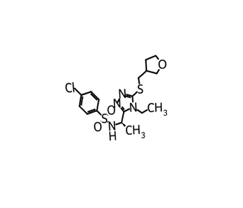 CCn1c(SCC2CCOC2)nnc1[C@@H](C)NS(=O)(=O)c1ccc(Cl)cc1